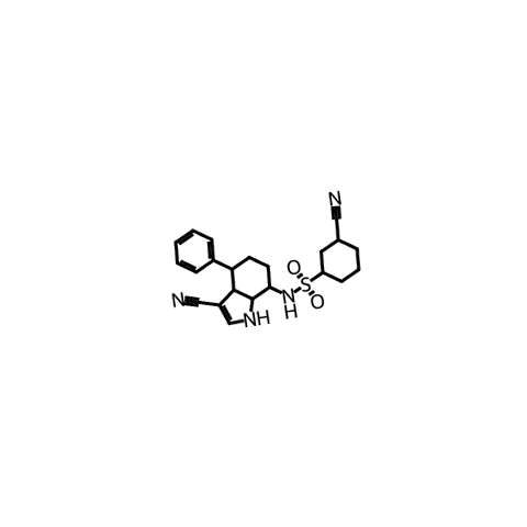 N#CC1=CNC2C(NS(=O)(=O)C3CCCC(C#N)C3)CCC(c3ccccc3)C12